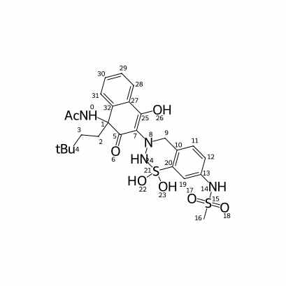 CC(=O)NC1(CCC(C)(C)C)C(=O)C(N2Cc3ccc(NS(C)(=O)=O)cc3S(O)(O)N2)=C(O)c2ccccc21